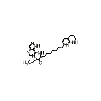 CCOC(=O)[C@H](CCCCCCCc1ccc2c(n1)NCCC2)Nc1ncnc2cn[nH]c12